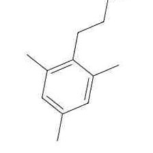 Cc1cc(C)c(CCC=O)c(C)c1